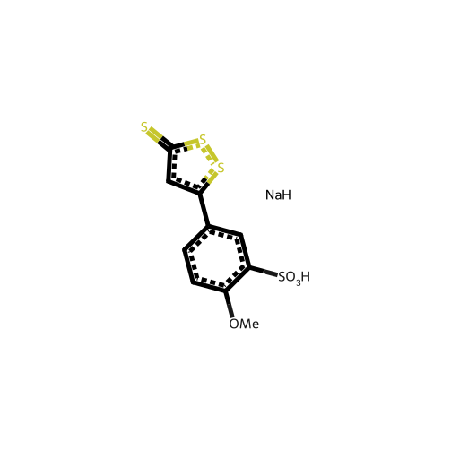 COc1ccc(-c2cc(=S)ss2)cc1S(=O)(=O)O.[NaH]